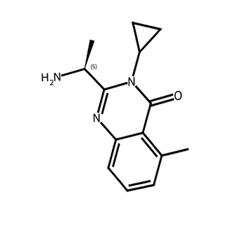 Cc1cccc2nc([C@H](C)N)n(C3CC3)c(=O)c12